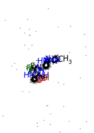 CN1CCN(c2n[nH]c3cc(Nc4ncc(C(F)(F)F)c(Nc5ccccc5CN[SH](=O)=O)n4)ccc23)CC1